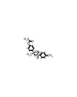 CC(=O)Oc1ccc(S(C)(C)OS(=O)(=O)c2ccc(C)cc2)cc1